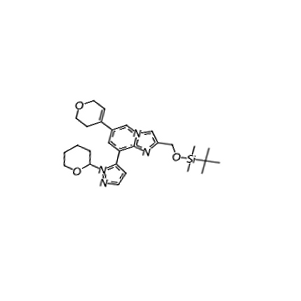 CC(C)(C)[Si](C)(C)OCc1cn2cc(C3=CCOCC3)cc(-c3ccnn3C3CCCCO3)c2n1